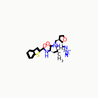 CC(C)C[C@H](NC(=O)c1cc2ccccc2s1)C(=O)NC[C@H]1CCO[C@@H]1CN=[N+]=[N-]